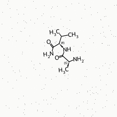 CC(C)[C@@H](NC(=O)[C@H](C)N)C(N)=O